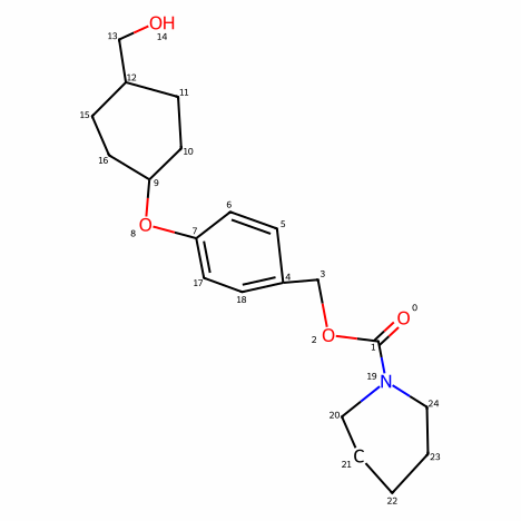 O=C(OCc1ccc(OC2CCC(CO)CC2)cc1)N1CCCCC1